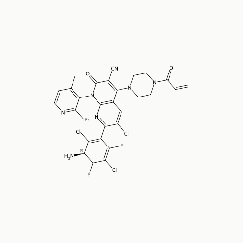 C=CC(=O)N1CCN(c2c(C#N)c(=O)n(-c3c(C)ccnc3C(C)C)c3nc(C4=C(Cl)[C@H](N)C(F)C(Cl)=C4F)c(Cl)cc23)CC1